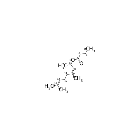 CCCC(=O)OC(C)C=C(C)CCC=C(C)C